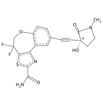 CN1CC[C@@](O)(C#Cc2ccc3c(c2)-c2nc(C(N)=O)sc2C(F)(F)CO3)C1=O